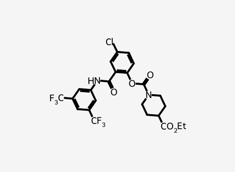 CCOC(=O)C1CCN(C(=O)Oc2ccc(Cl)cc2C(=O)Nc2cc(C(F)(F)F)cc(C(F)(F)F)c2)CC1